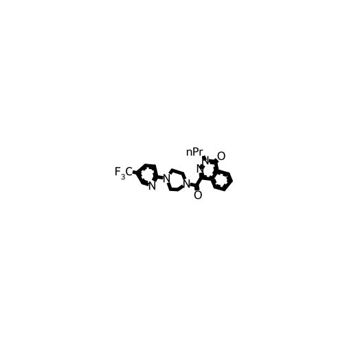 CCCn1nc(C(=O)N2CCN(c3ccc(C(F)(F)F)cn3)CC2)c2ccccc2c1=O